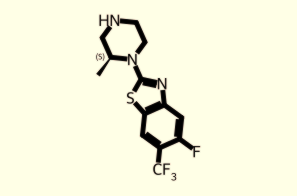 C[C@H]1CNCCN1c1nc2cc(F)c(C(F)(F)F)cc2s1